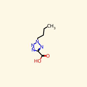 CCCCn1nnc(C(=O)O)n1